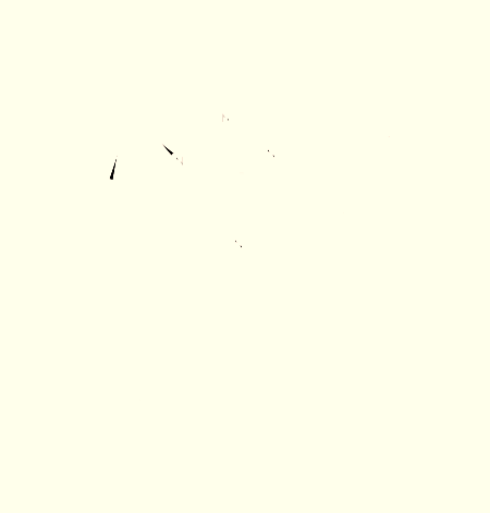 CC(C)Oc1cccc(CN2CCC3(CC2)C(N[C@@H]2CCCC[C@@H]2C)=NC(=O)N3c2cccc(F)c2)c1